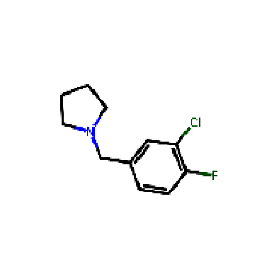 Fc1ccc(CN2CCCC2)cc1Cl